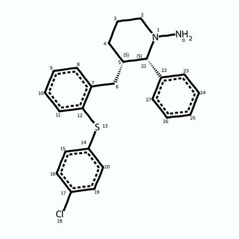 NN1CCC[C@@H](Cc2ccccc2Sc2ccc(Cl)cc2)[C@H]1c1ccccc1